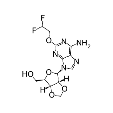 Nc1nc(OCC(F)F)nc2c1ncn2[C@@H]1O[C@H](CO)[C@H]2OCO[C@H]21